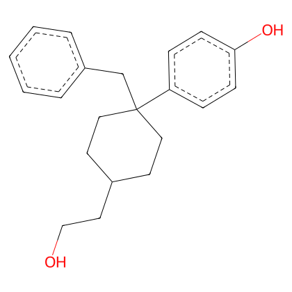 OCCC1CCC(Cc2ccccc2)(c2ccc(O)cc2)CC1